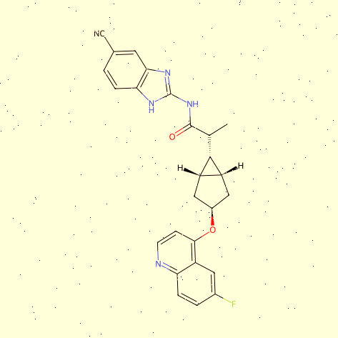 CC(C(=O)Nc1nc2cc(C#N)ccc2[nH]1)[C@@H]1[C@@H]2C[C@@H](Oc3ccnc4ccc(F)cc34)C[C@@H]21